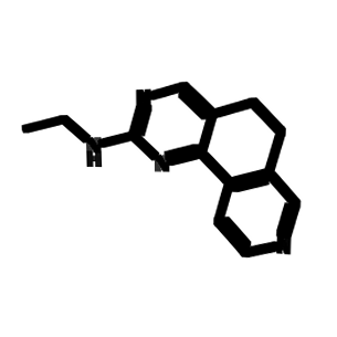 CCNc1ncc2c(n1)-c1ccncc1CC2